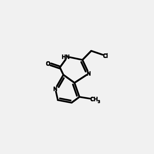 Cc1ccnc2c(=O)[nH]c(CCl)nc12